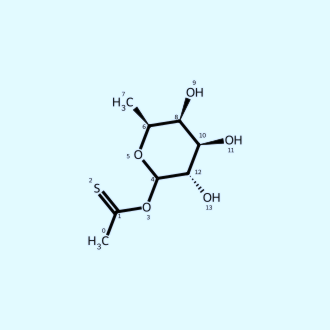 CC(=S)OC1O[C@@H](C)[C@@H](O)[C@@H](O)[C@@H]1O